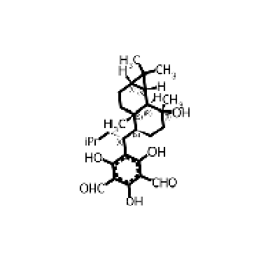 CC(C)C[C@@H](c1c(O)c(C=O)c(O)c(C=O)c1O)[C@@H]1CC[C@@](C)(O)[C@@H]2[C@@H]3[C@H](CC[C@]21C)C3(C)C